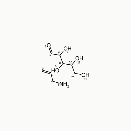 C=CCN.O=CC(O)C(O)C(O)CO